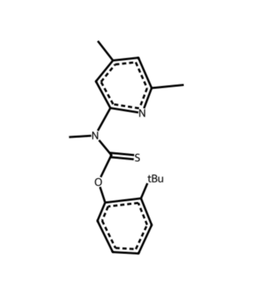 Cc1cc(C)nc(N(C)C(=S)Oc2ccccc2C(C)(C)C)c1